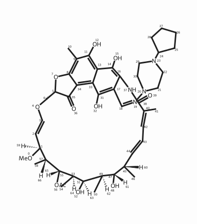 CO[C@H]1/C=C/O[C@@]2(C)Oc3c(C)c(O)c4c(O)c(c(/C=N\N5CCN(C6CCCC6)CC5)c(O)c4c3C2=O)NC(=O)/C(C)=C\C=C\[C@H](C)[C@H](O)[C@@H](C)[C@@H](O)[C@@H](C)[C@H](OC(C)=O)[C@@H]1C